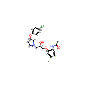 CC(=O)Nc1cc(F)c(F)cc1OCC(O)CN1CCC(Oc2ccc(Cl)cc2)C1